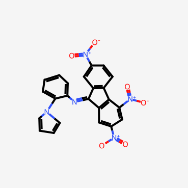 O=[N+]([O-])c1ccc2c(c1)C(=Nc1ccccc1-n1cccc1)c1cc([N+](=O)[O-])cc([N+](=O)[O-])c1-2